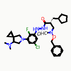 CN(C)C1CN(c2cc(Cl)cc(NNC(=O)[C@H](CC3CCCC3)CN(C=O)OCc3ccccc3)c2F)CC12CC2